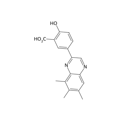 Cc1cc2ncc(-c3ccc(O)c(C(=O)O)c3)nc2c(C)c1C